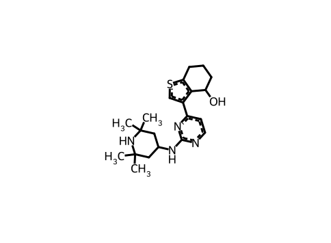 CC1(C)CC(Nc2nccc(-c3csc4c3C(O)CCC4)n2)CC(C)(C)N1